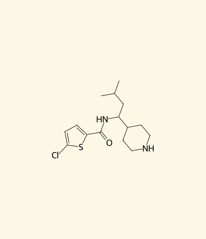 CC(C)CC(NC(=O)c1ccc(Cl)s1)C1CCNCC1